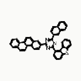 c1ccc2cc(-c3nc(-c4ccc5c(ccc6c7ccccc7ccc56)c4)nc(-c4cccc5sc6ccccc6c45)n3)ccc2c1